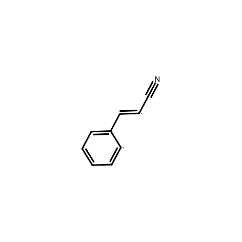 N#C[C]=Cc1[c]cccc1